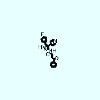 O=C(CCC(=O)c1ccccc1)Nc1n[nH]c(-c2ccc(F)cc2)c1-c1ccncc1